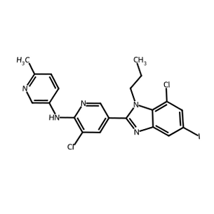 CCCn1c(-c2cnc(Nc3ccc(C)nc3)c(Cl)c2)nc2cc(I)cc(Cl)c21